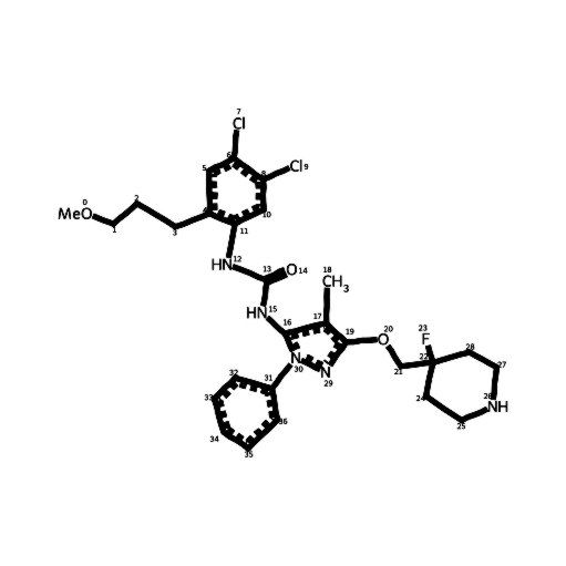 COCCCc1cc(Cl)c(Cl)cc1NC(=O)Nc1c(C)c(OCC2(F)CCNCC2)nn1-c1ccccc1